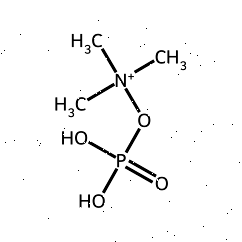 C[N+](C)(C)OP(=O)(O)O